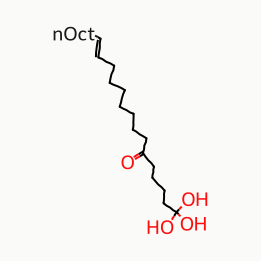 CCCCCCCCC=CCCCCCCCC(=O)CCCCC(O)(O)O